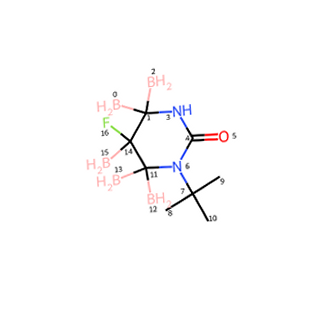 BC1(B)NC(=O)N(C(C)(C)C)C(B)(B)C1(B)F